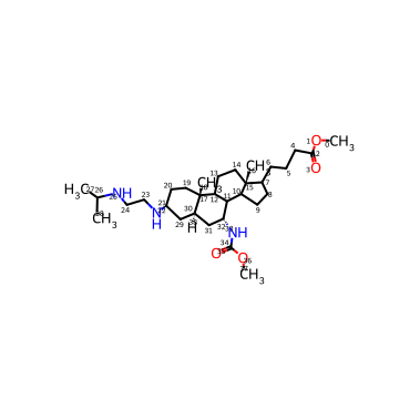 COC(=O)CCCC1CCC2C3C(CC[C@]12C)[C@@]1(C)CC[C@H](NCCNC(C)C)C[C@@H]1C[C@H]3NC(=O)OC